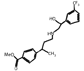 COC(=O)c1ccc(C(C)CCNCC(O)c2cccc(C(F)(F)F)c2)cc1